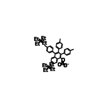 CC[N+](CC)(CC)CC.CC[N+](CC)(CC)CC.Cc1ccc(-c2c(-c3ccc(C)cc3)c(-c3ccc(C)cc3)c3ccccc3c2OB([O-])[O-])cc1